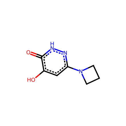 O=c1[nH]nc(N2CCC2)cc1O